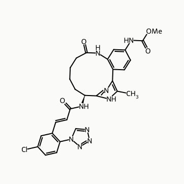 COC(=O)Nc1ccc2c(c1)NC(=O)CCCC[C@H](NC(=O)C=Cc1cc(Cl)ccc1-n1cnnn1)c1nc-2c(C)[nH]1